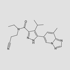 CCN(CCC#N)C(=O)c1n[nH]c(-c2cc(C)c3ncnn3c2)c1C(C)C